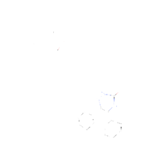 CC(C)(C)OC(=O)COCC1CCC(Cn2nc(-c3ccccc3)c(-c3cccc(F)c3)nc2=O)CC1